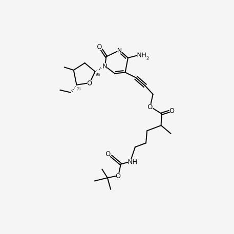 CC[C@H]1O[C@@H](n2cc(C#CCOC(=O)C(C)CCCNC(=O)OC(C)(C)C)c(N)nc2=O)CC1C